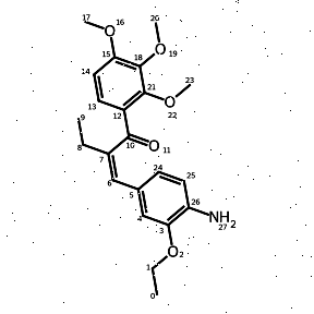 CCOc1cc(C=C(CC)C(=O)c2ccc(OC)c(OC)c2OC)ccc1N